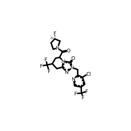 O=C(C1CC(C(F)(F)F)Cc2nn(Cc3ncc(C(F)(F)F)cc3Cl)c(=O)n21)N1CC[C@H](F)C1